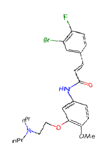 CCCN(CCC)CCOc1cc(NC(=O)C=Cc2ccc(F)c(Br)c2)ccc1OC